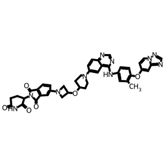 Cc1cc(Nc2ncnc3ccc(N4CCC(OC5CN(c6ccc7c(c6)C(=O)N(C6CCC(=O)NC6=O)C7=O)C5)CC4)cc23)ccc1Oc1ccn2ncnc2c1